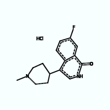 CN1CCC(c2c[nH]c(=O)c3cc(F)ccc23)CC1.Cl